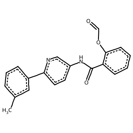 Cc1cccc(-c2ccc(NC(=O)c3ccccc3OC=O)cn2)c1